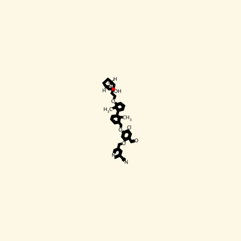 Cc1c(COc2cc(OCc3cncc(C#N)c3)c(C=O)cc2Cl)cccc1-c1cccc(OCCCN2[C@@H]3CC[C@H]2CC(O)C3)c1C